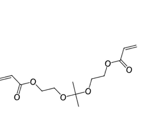 C=CC(=O)OCCOC(C)(C)OCCOC(=O)C=C